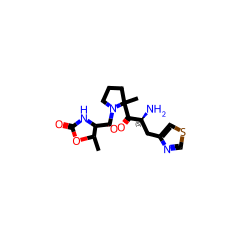 CC1OC(=O)NC1C(=O)N1CCCC1(C)C(=O)[C@@H](N)Cc1cscn1